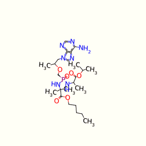 CCCCCOC(=O)C(C)(C)N[P@@](=O)(COC(C)Cn1cnc2c(N)ncnc21)NC(C)C(=O)OC(C)C